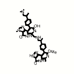 COc1nc(C)c2[nH]c(=O)c3[nH]cnc3c2c1-c1ccc(C(C)CNCc2nc(O)c(-c3ccc(C(C)CN(C)C)cc3)c3c2[nH]c(=O)c2c3ncn2C)cc1